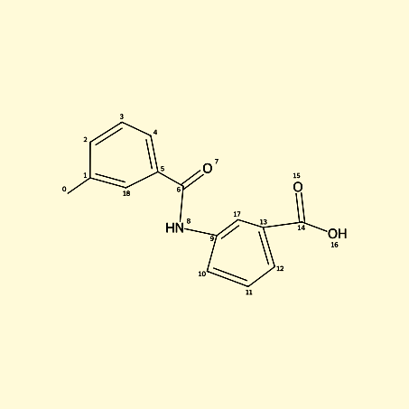 Cc1cccc(C(=O)Nc2cccc(C(=O)O)c2)c1